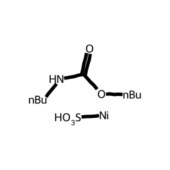 CCCCNC(=O)OCCCC.O=[S](=O)(O)[Ni]